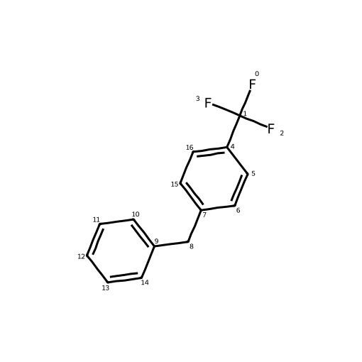 FC(F)(F)c1ccc(Cc2ccccc2)cc1